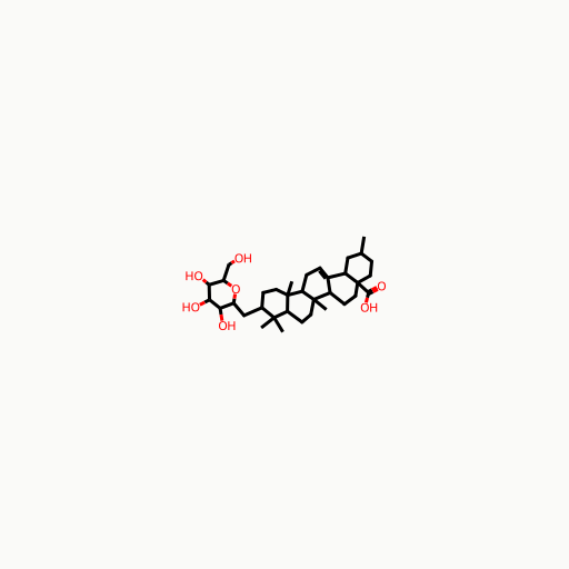 CC1CCC2(C(=O)O)CCC3C(=CCC4C3(C)CCC3C(C)(C)C(CC5OC(CO)C(O)C(O)C5O)CCC34C)C2C1